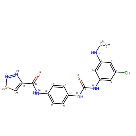 O=C(O)Nc1cc(Cl)cc(NC(=S)Nc2ccc(NC(=O)c3csnn3)cc2)c1